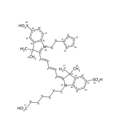 CC1(C)C(/C=C/C=C/C=C2/N(CCCCCCC(=O)O)c3ccc(S(=O)(=O)O)cc3C2(C)C)=[N+](CCc2cccs2)c2ccc(S(=O)(=O)O)cc21